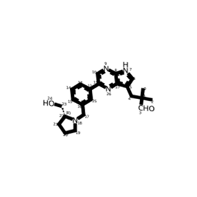 CC(C)(C=O)Cc1c[nH]c2ncc(-c3cccc(CN4CCC[C@@H]4CO)c3)nc12